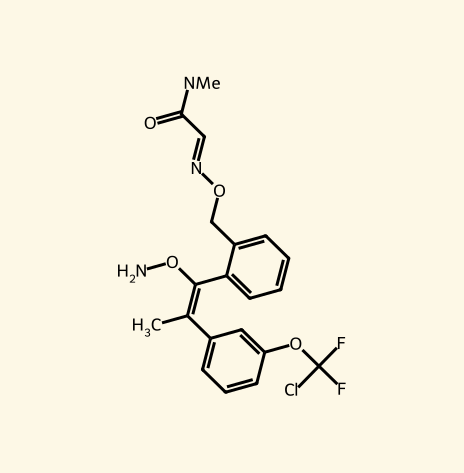 CNC(=O)C=NOCc1ccccc1C(ON)=C(C)c1cccc(OC(F)(F)Cl)c1